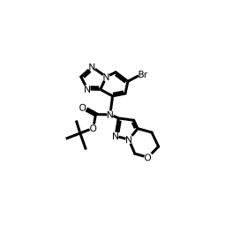 CC(C)(C)OC(=O)N(c1cc2n(n1)COCC2)c1cc(Br)cn2ncnc12